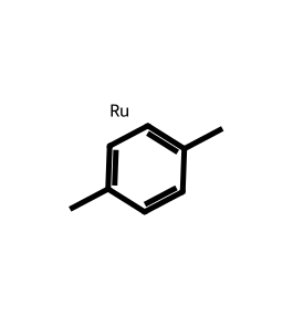 Cc1ccc(C)cc1.[Ru]